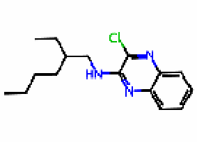 CCCCC(CC)CNc1nc2ccccc2nc1Cl